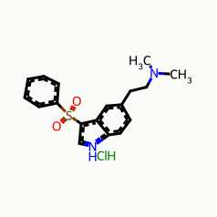 CN(C)CCc1ccc2[nH]cc(S(=O)(=O)c3ccccc3)c2c1.Cl